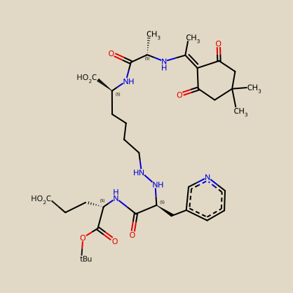 CC(N[C@@H](C)C(=O)N[C@@H](CCCCNN[C@@H](Cc1cccnc1)C(=O)N[C@@H](CCC(=O)O)C(=O)OC(C)(C)C)C(=O)O)=C1C(=O)CC(C)(C)CC1=O